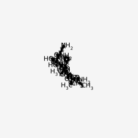 CSCC[C@H](NC(=O)[C@H](CC(C)C)N1CC[C@H](NC(=O)C(NC(=O)[C@H](Cc2ccccc2)NC(=O)[C@H](CO)NC(=O)[C@H](CC(=O)O)NC(=O)[C@@H](N)CCCCN)C(C)C)C1=O)C(N)=O